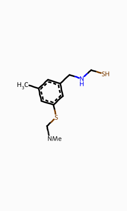 CNCSc1cc(C)cc(CNCS)c1